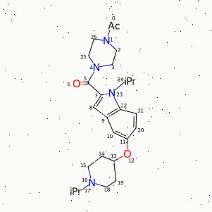 CC(=O)N1CCN(C(=O)c2cc3cc(OC4CCN(C(C)C)CC4)ccc3n2C(C)C)CC1